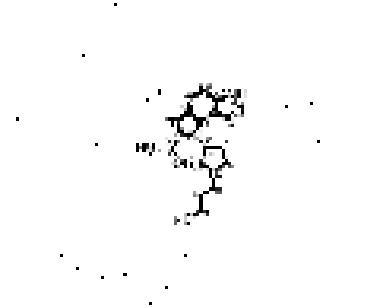 C[C@@H](O)c1nc2cnc3[nH]ncc3c2n1[C@H]1CCN(CCCC#N)C1